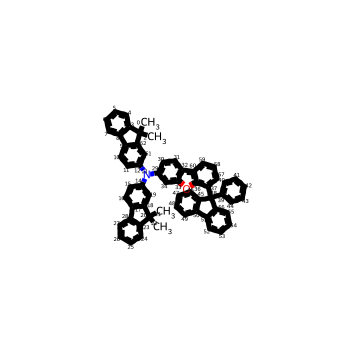 CC1(C)c2ccccc2-c2ccc(N(c3ccc4c(c3)C(C)(C)c3ccccc3-4)c3ccc4c(c3)oc3c(C5(c6ccccc6)c6ccccc6-c6ccccc65)cccc34)cc21